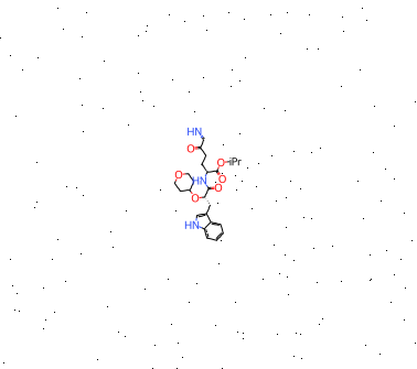 CC(C)OC(=O)[C@H](CCC(=O)C=N)NC(=O)[C@H](Cc1c[nH]c2ccccc12)OC1CCOCC1